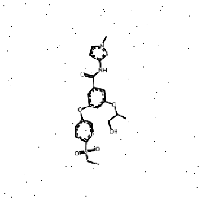 CCS(=O)(=O)c1ccc(Oc2cc(OC(C)CO)cc(C(=O)Nc3ccn(C)n3)c2)cn1